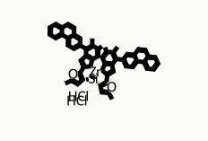 Cc1ccc(C2=Cc3c(cc(C)c(C)c3-c3ccc4c(ccc5ccccc54)c3)[CH]2[Zr]([CH]2C(c3ccc(C)o3)=Cc3c2cc(C)c(C)c3-c2ccc3c(ccc4ccccc43)c2)=[Si](C)C)o1.Cl.Cl